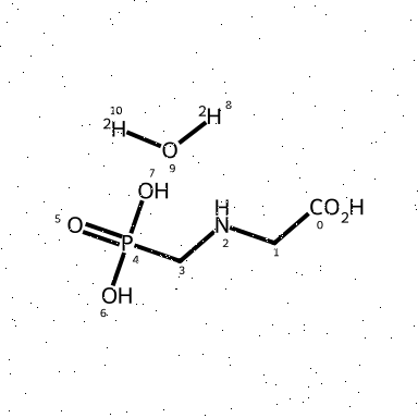 O=C(O)CNCP(=O)(O)O.[2H]O[2H]